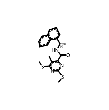 CSc1nc(SC)c(C)c(C(=O)N[C@H](C)c2cccc3ccccc23)n1